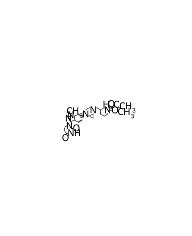 Cn1nc(N2CCC(=O)NC2=O)c2ccc(N3CCN(CC4CCCN(C(=O)OC(C)(C)C)C4)C4CC43)cc21